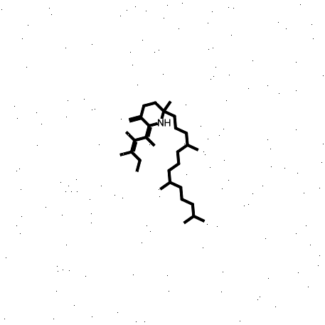 C=C1CCC(C)(CCCC(C)CCCC(C)CCCC(C)C)N/C1=C(C)/C(C)=C(/C)CC